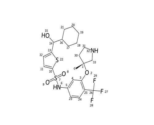 C[C@@]1(Oc2cc(NS(=O)(=O)c3ccc(C(O)C4CCCCC4)s3)ccc2C(F)(F)F)CCNC1